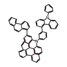 c1ccc(-c2cccc3cccc(-c4ccccc4N(c4cccc(-c5cccc6c5ccc5ccccc56)c4)c4cccc(-c5cccc6c5c5ccccc5n6-c5ccccc5)c4)c23)cc1